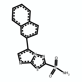 NS(=O)(=O)c1nn2c(-c3ccc4ccccc4c3)cnc2s1